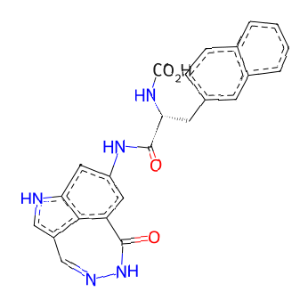 O=C(O)N[C@H](Cc1ccc2ccccc2c1)C(=O)Nc1cc2c3c(c[nH]c3c1)C=NNC2=O